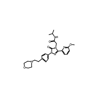 COc1cccc(-c2nn(-c3ccc(CCN4CCOCC4)cc3)c(=O)n2CC(=O)NC(C)C)n1